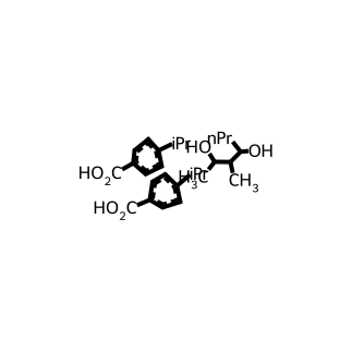 CC(C)c1ccc(C(=O)O)cc1.CC(C)c1ccc(C(=O)O)cc1.CCCC(O)C(C)C(C)O